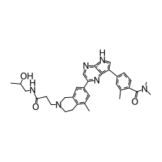 Cc1cc(-c2c[nH]c3ncc(-c4cc(C)c5c(c4)CN(CCC(=O)NCC(C)O)CC5)nc23)ccc1C(=O)N(C)C